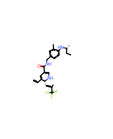 C=CC1=CC(C(=O)NCc2ccc(N[C@H](C)CC)c(C)c2)=CN[C@@H]1/C=C(\C)C(F)(F)F